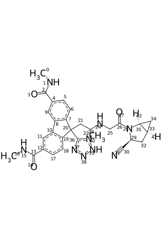 CNC(=O)c1ccc2c(c1)-c1cc(C(=O)NC)ccc1C2(C[C@@H](C)NCC(=O)N1[C@H](C#N)C[C@@H]2C[C@@H]21)c1nn[nH]n1